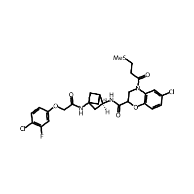 CSCCC(=O)N1CC(C(=O)N[C@H]2CC3(NC(=O)COc4ccc(Cl)c(F)c4)CC2C3)Oc2ccc(Cl)cc21